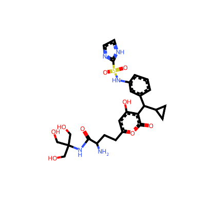 NC(CCc1cc(O)c(C(c2cccc(NS(=O)(=O)c3ncc[nH]3)c2)C2CC2)c(=O)o1)C(=O)NC(CO)(CO)CO